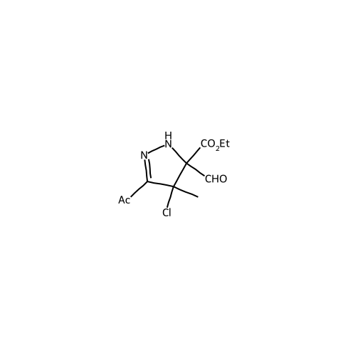 CCOC(=O)C1(C=O)NN=C(C(C)=O)C1(C)Cl